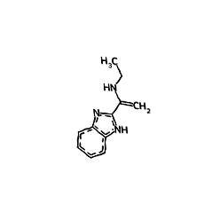 C=C(NCC)c1nc2ccccc2[nH]1